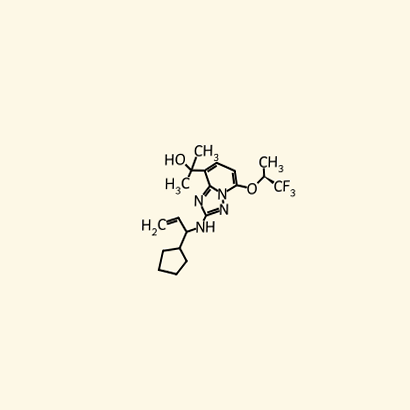 C=CC(Nc1nc2c(C(C)(C)O)ccc(O[C@@H](C)C(F)(F)F)n2n1)C1CCCC1